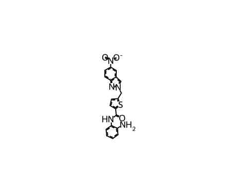 Nc1ccccc1NC(=O)c1ccc(Cn2cc3cc([N+](=O)[O-])ccc3n2)s1